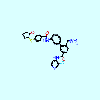 NCc1ccc(C(=O)Nc2ccncc2F)cc1-c1cccc(NC(=O)c2ccc(SC3CCCC3=O)cc2)c1